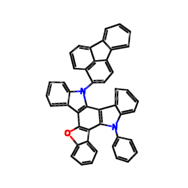 c1ccc(-n2c3ccccc3c3c4c(c5ccccc5n4-c4ccc5c6c(cccc46)-c4ccccc4-5)c4oc5ccccc5c4c32)cc1